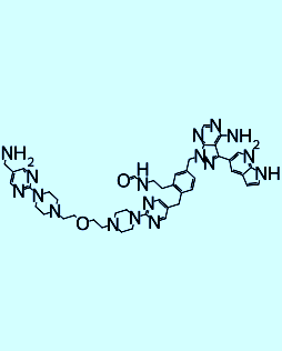 NCc1cnc(N2CCN(CCOCCN3CCN(c4ncc(Cc5ccc(Cn6nc(-c7cnc8[nH]ccc8c7)c7c(N)ncnc76)cc5CCNC=O)cn4)CC3)CC2)nc1